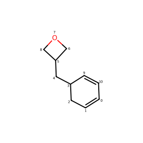 C1=CCC(CC2COC2)C=C1